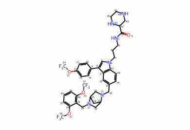 O=C(NCCCn1cc(-c2ccc(OC(F)(F)F)cc2)c2cc(CN3CC4CC3CN4Cc3c(OC(F)(F)F)cccc3OC(F)(F)F)ccc21)C1CNCCN1